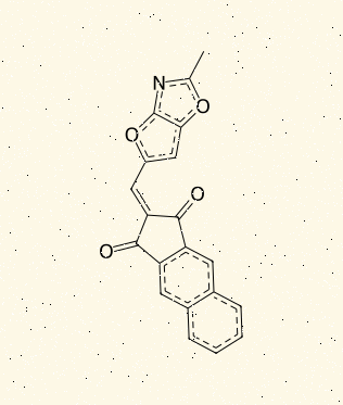 Cc1nc2oc(C=C3C(=O)c4cc5ccccc5cc4C3=O)cc2o1